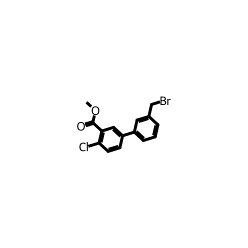 COC(=O)c1cc(-c2cccc(CBr)c2)ccc1Cl